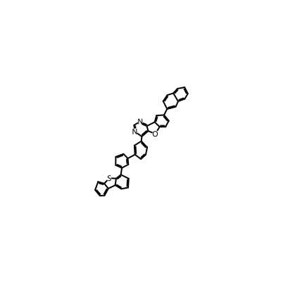 c1cc(-c2cccc(-c3cccc4c3sc3ccccc34)c2)cc(-c2ncnc3c2oc2ccc(-c4ccc5ccccc5c4)cc23)c1